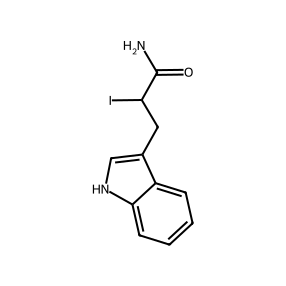 NC(=O)C(I)Cc1c[nH]c2ccccc12